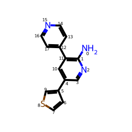 Nc1ncc(-c2ccsc2)cc1-c1ccncc1